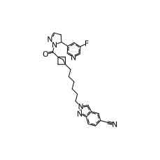 N#Cc1ccc2nn(CCCCCCC34CC(C(=O)N5N=CCC5c5cncc(F)c5)(C3)C4)cc2c1